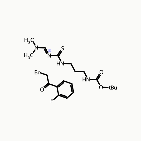 CN(C)/C=N/C(=S)NCCCNC(=O)OC(C)(C)C.O=C(CBr)c1ccccc1F